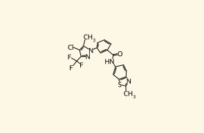 Cc1nc2ccc(NC(=O)c3cccc(-n4nc(C(F)(F)F)c(Cl)c4C)c3)cc2s1